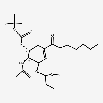 CCCCCCC(=O)C1=CC(OC(CC)CC)[C@@H](NC(C)=O)[C@H](NC(=O)OC(C)(C)C)C1